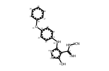 N#CNC(=N)c1c(O)nsc1Nc1ccc(Oc2ccccc2)cc1